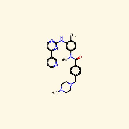 Cc1ccc(N(C(=O)c2ccc(CN3CCN(C)CC3)cc2)C(C)(C)C)cc1Nc1nccc(-c2cccnc2)n1